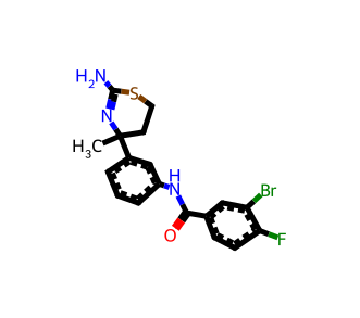 CC1(c2cccc(NC(=O)c3ccc(F)c(Br)c3)c2)CCSC(N)=N1